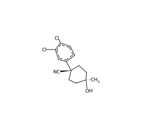 C[C@]1(O)CC[C@](C#N)(c2ccc(Cl)c(Cl)c2)CC1